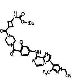 CC(C)(C)OC(=O)NC1CC(C(=O)N2CCN(C(=O)c3ccc(Nc4nccn5c(-c6cn(CC#N)nc6C(F)(F)F)cnc45)cc3Cl)CC2)C1